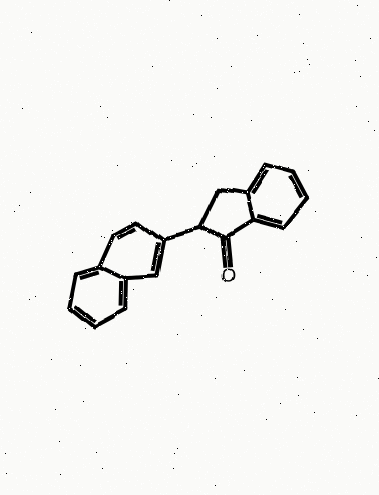 O=C1c2ccccc2CC1c1ccc2ccccc2c1